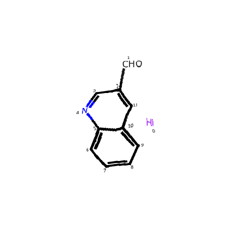 I.O=Cc1cnc2ccccc2c1